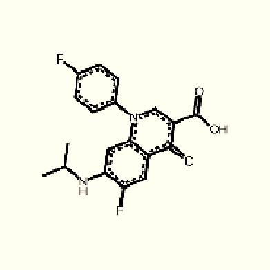 CC(C)Nc1cc2c(cc1F)c(=O)c(C(=O)O)cn2-c1ccc(F)cc1